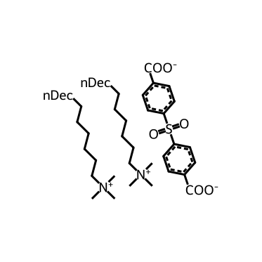 CCCCCCCCCCCCCCCC[N+](C)(C)C.CCCCCCCCCCCCCCCC[N+](C)(C)C.O=C([O-])c1ccc(S(=O)(=O)c2ccc(C(=O)[O-])cc2)cc1